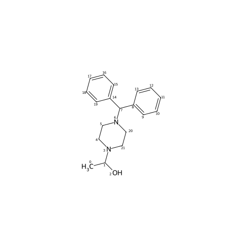 CC(O)N1CCN(C(c2ccccc2)c2ccccc2)CC1